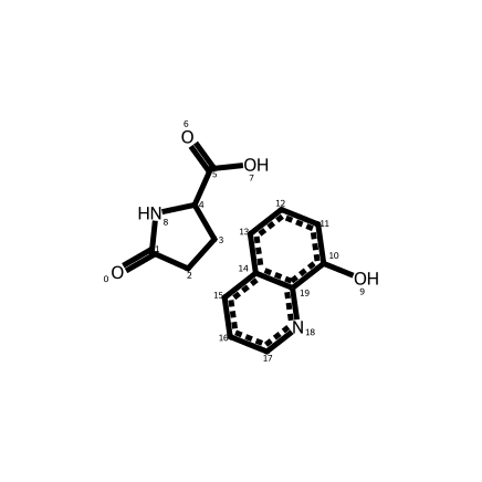 O=C1CCC(C(=O)O)N1.Oc1cccc2cccnc12